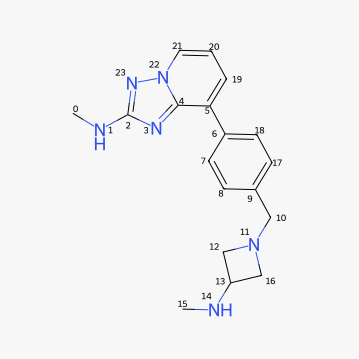 CNc1nc2c(-c3ccc(CN4CC(NC)C4)cc3)cccn2n1